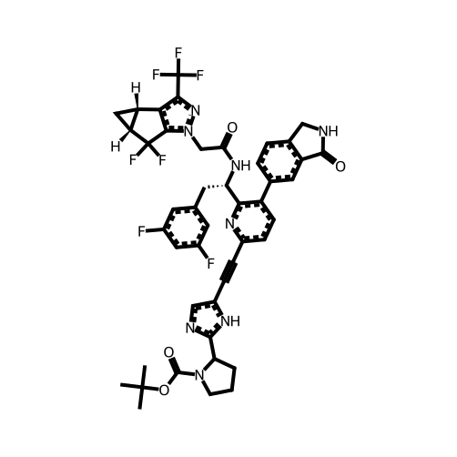 CC(C)(C)OC(=O)N1CCCC1c1ncc(C#Cc2ccc(-c3ccc4c(c3)C(=O)NC4)c([C@H](Cc3cc(F)cc(F)c3)NC(=O)Cn3nc(C(F)(F)F)c4c3C(F)(F)[C@@H]3C[C@H]43)n2)[nH]1